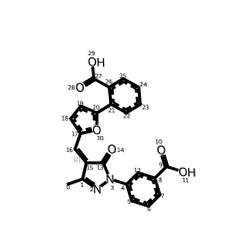 CC1=NN(c2cccc(C(=O)O)c2)C(=O)/C1=C\c1ccc(-c2ccccc2C(=O)O)o1